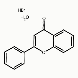 Br.O.O=c1cc(-c2ccccc2)oc2ccccc12